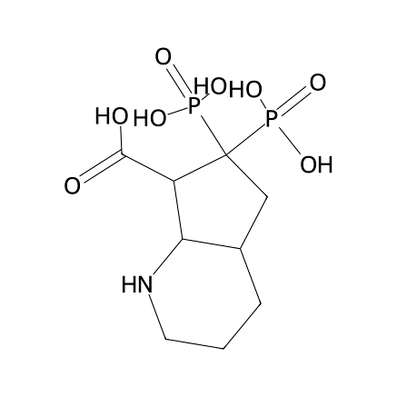 O=C(O)C1C2NCCCC2CC1(P(=O)(O)O)P(=O)(O)O